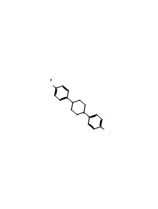 CCCOc1ccc(C2CCC(c3ccc(C#N)cc3)CC2)cc1